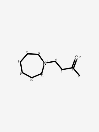 CC(=O)CCN1CCCCCC1